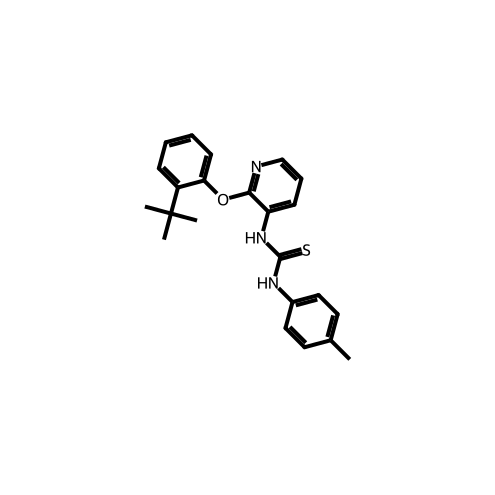 Cc1ccc(NC(=S)Nc2cccnc2Oc2ccccc2C(C)(C)C)cc1